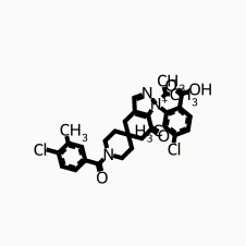 Cc1cc(C(=O)N2CCC3(CC2)CC(=O)C2=C(C=N[N+]2(c2c(C(=O)O)ccc(Cl)c2C)C(C)C)C3)ccc1Cl